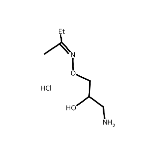 CCC(C)=NOCC(O)CN.Cl